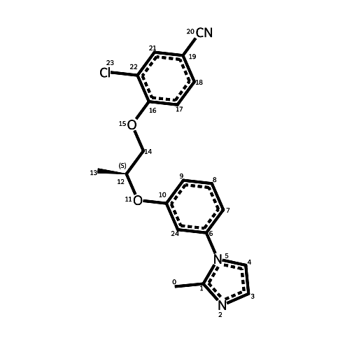 Cc1nccn1-c1cccc(O[C@@H](C)COc2ccc(C#N)cc2Cl)c1